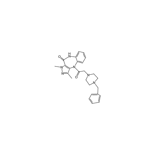 Cc1nn(C)c2c1N(C(=O)CN1CCN(Cc3ccccc3)CC1)c1ccccc1NC2=O